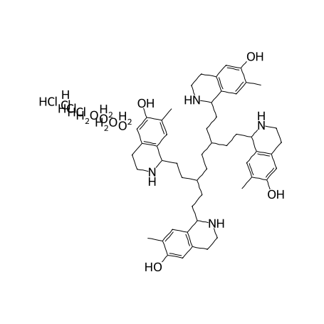 Cc1cc2c(cc1O)CCNC2CCC(CCC(CCC1NCCc2cc(O)c(C)cc21)CCC1NCCc2cc(O)c(C)cc21)CCC1NCCc2cc(O)c(C)cc21.Cl.Cl.Cl.Cl.O.O.O.O